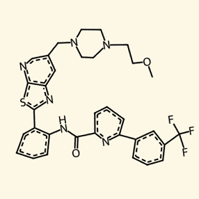 COCCN1CCN(Cc2cnc3sc(-c4ccccc4NC(=O)c4cccc(-c5cccc(C(F)(F)F)c5)n4)nc3c2)CC1